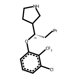 CC(C)C[C@H](Oc1cccc(Cl)c1C(F)(F)F)C1CCNC1